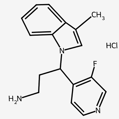 Cc1cn(C(CCN)c2ccncc2F)c2ccccc12.Cl